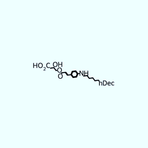 CCCCCCCCCCCCCCCCNc1ccc(/C=C/C(=O)OCC(O)CC(=O)O)cc1